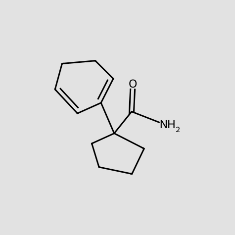 NC(=O)C1(C2=CCCC=C2)CCCC1